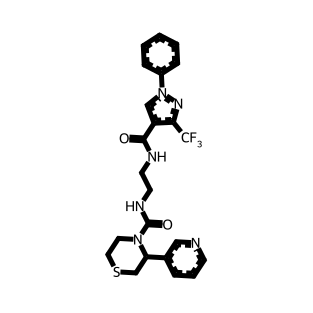 O=C(NCCNC(=O)N1CCSCC1c1cccnc1)c1cn(-c2ccccc2)nc1C(F)(F)F